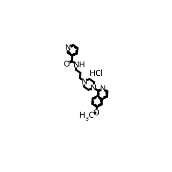 COc1ccc2c(N3CCN(CCCNC(=O)c4cccnc4)CC3)nccc2c1.Cl